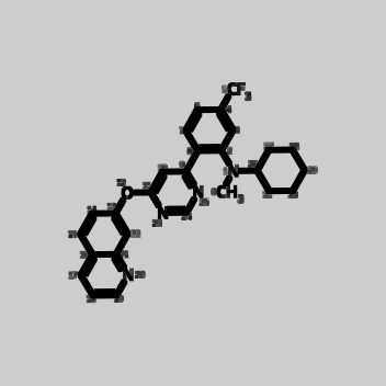 CN(c1cc(C(F)(F)F)ccc1-c1cc(Oc2ccc3cccnc3c2)ncn1)C1CCCCC1